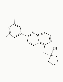 Cc1cc(C)cc(-c2ccc3c(CC4(C#N)CCCC4)cccc3n2)c1